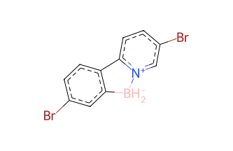 Brc1ccc2c(c1)[BH2-][n+]1cc(Br)ccc1-2